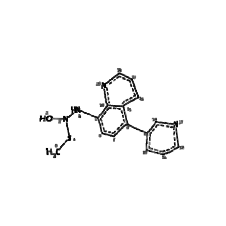 CSN(O)Nc1ccc(-c2cccnc2)c2cccnc12